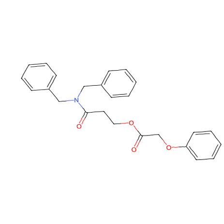 O=C(COc1ccccc1)OCCC(=O)N(Cc1ccccc1)Cc1ccccc1